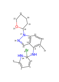 CC1=CC=CC(Br)(Nc2c(C)ccc3c2cnn3C2CCCCO2)N1